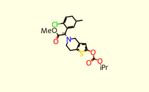 COC(=O)[C@H](C1=CC(C)CC=C1Cl)N1CCc2sc(OC(=O)OC(C)C)cc2C1